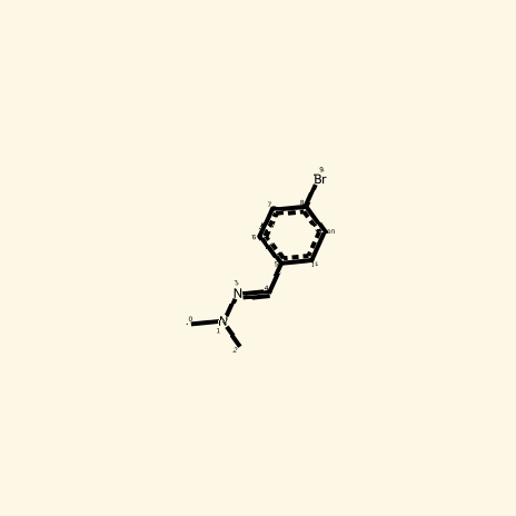 [CH2]N(C)N=Cc1ccc(Br)cc1